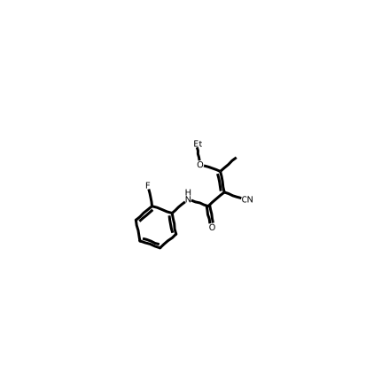 CCOC(C)=C(C#N)C(=O)Nc1ccccc1F